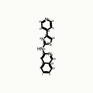 c1ccc2cc(Nc3nc(-c4ccncc4)cs3)ncc2c1